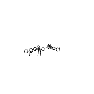 O=C(COc1ccc(Cl)c(F)c1)N[C@H]1CC[C@H](c2cnn(-c3ccc(Cl)cc3)c2)CC1